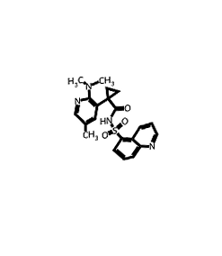 Cc1cnc(N(C)C)c(C2(C(=O)NS(=O)(=O)c3cccc4ncccc34)CC2)c1